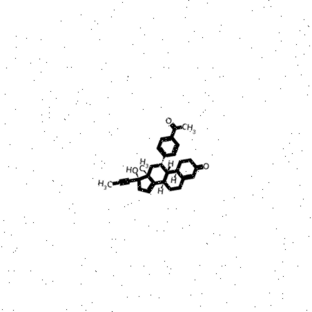 CC#C[C@]1(O)CC=C2[C@@H]3CCC4=CC(=O)CC[C@@H]4[C@H]3[C@@H](c3ccc(C(C)=O)cc3)C[C@@]21C